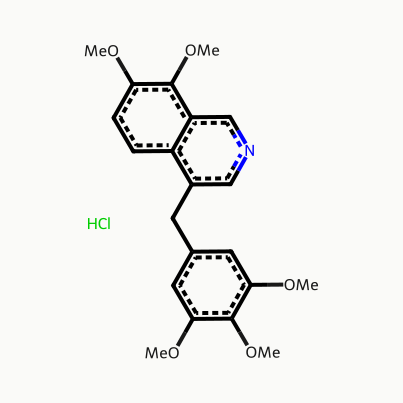 COc1cc(Cc2cncc3c(OC)c(OC)ccc23)cc(OC)c1OC.Cl